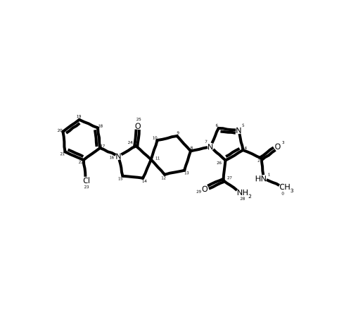 CNC(=O)c1ncn(C2CCC3(CC2)CCN(c2ccccc2Cl)C3=O)c1C(N)=O